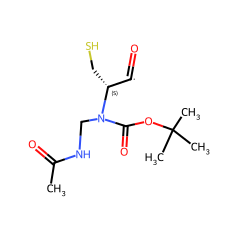 CC(=O)NCN(C(=O)OC(C)(C)C)[C@@H]([C]=O)CS